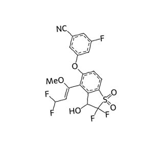 COC(=CC(F)F)c1c(Oc2cc(F)cc(C#N)c2)ccc2c1C(O)C(F)(F)S2(=O)=O